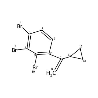 C=C(c1ccc(Br)c(Br)c1Br)C1CC1